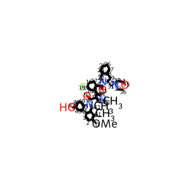 COc1cccc(CN(C(=O)c2c(-c3cc(F)ccc3C(=O)N3Cc4ccccc4C[C@H]3CN3CCOCC3)cn(C)c2C)c2ccc(O)cc2)c1C